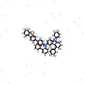 c1ccc(-c2ccccc2N(c2ccc(-c3ccc4c(c3)oc3ccccc34)cc2)c2ccc3c(c2)c2c(-c4ccccc4)cccc2n3-c2ccccc2)cc1